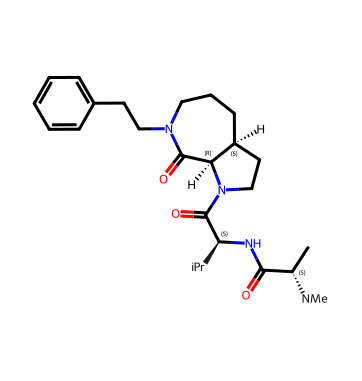 CN[C@@H](C)C(=O)N[C@H](C(=O)N1CC[C@@H]2CCCN(CCc3ccccc3)C(=O)[C@@H]21)C(C)C